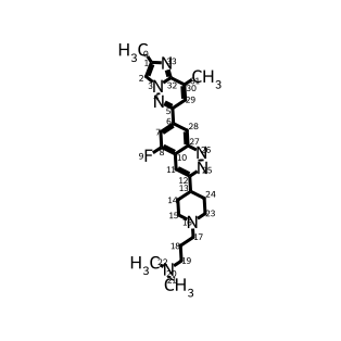 Cc1cn2nc(-c3cc(F)c4cc(C5CCN(CCCN(C)C)CC5)nnc4c3)cc(C)c2n1